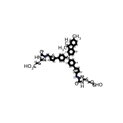 Cc1ccc2c(c1)C(C)(C)c1cc(N(c3ccc(-c4ccc(/C=C5\N=C(SCOC=O)NC5=O)s4)cc3)c3ccc(-c4ccc(/C=C5\N=C(SCC(=O)O)NC5=O)s4)cc3)ccc1-2